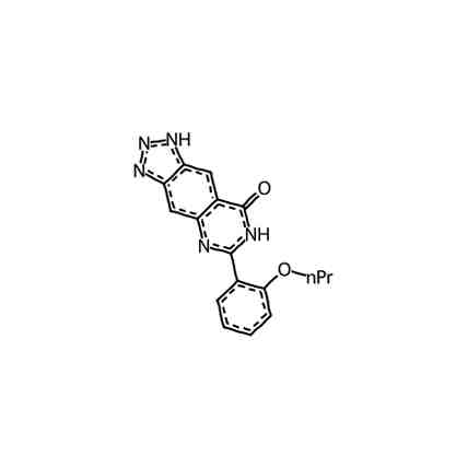 CCCOc1ccccc1-c1nc2cc3nn[nH]c3cc2c(=O)[nH]1